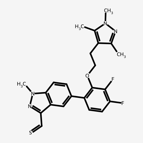 Cc1nn(C)c(C)c1CCOc1c(-c2ccc3c(c2)c(C=S)nn3C)ccc(F)c1F